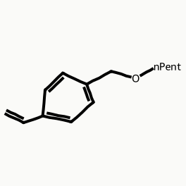 C=Cc1ccc(COCCCCC)cc1